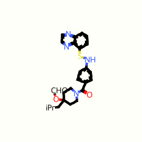 CC(C)CC1(OC=O)CCN(C(=O)c2ccc(NSc3cccc4nccnc34)cc2)CC1